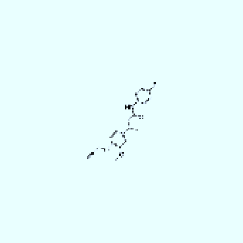 C#CCOc1ccc(C(C)CC(=O)Nc2ccc(F)cc2)cc1OC